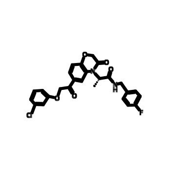 C[C@@H](C(=O)NCc1ccc(F)cc1)N1C(=O)COc2ccc(C(=O)COc3cccc(Cl)c3)cc21